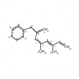 C=C/C(C)=C/C(C)=C\C(=C)Cc1ccccc1